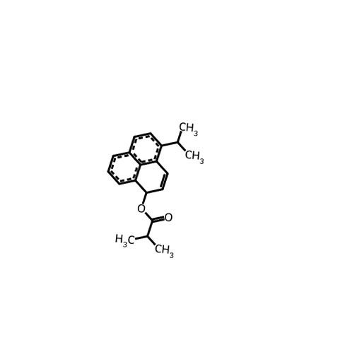 CC(C)C(=O)OC1C=Cc2c(C(C)C)ccc3cccc1c23